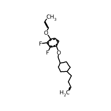 C=CCCC1CCC(COc2ccc(O/C=C/C)c(F)c2F)CC1